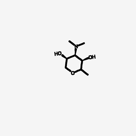 CC1OC[C@@H](O)[C@@H](N(C)C)[C@H]1O